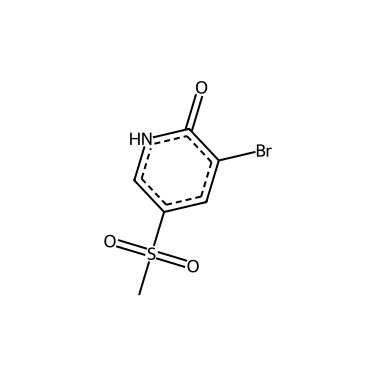 CS(=O)(=O)c1c[nH]c(=O)c(Br)c1